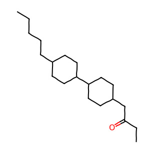 CCCCCC1CCC(C2CCC(CC(=O)CC)CC2)CC1